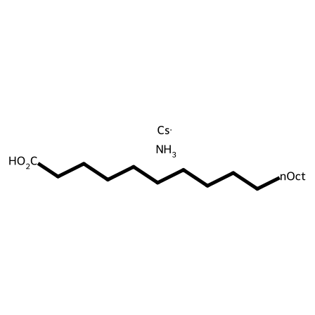 CCCCCCCCCCCCCCCCCC(=O)O.N.[Cs]